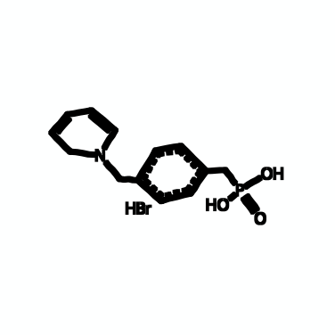 Br.O=P(O)(O)Cc1ccc(CN2C=CC=CC2)cc1